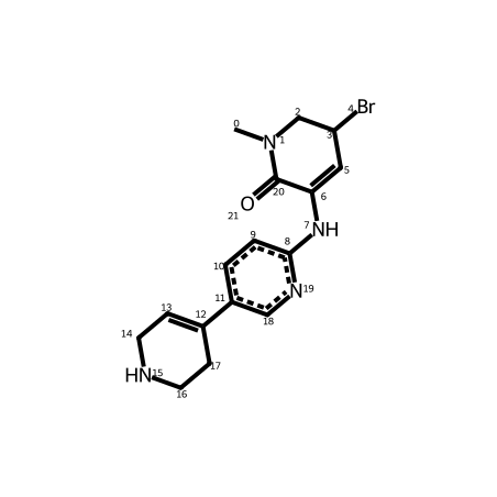 CN1CC(Br)C=C(Nc2ccc(C3=CCNCC3)cn2)C1=O